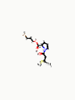 CC(=O)SC(C)CC(=O)N1CCC[C@H]1C(=O)OCCCBr